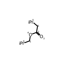 CC(C)[CH]C(=O)OCC(C)C